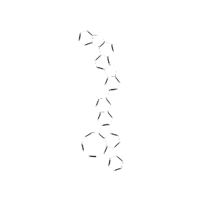 c1ccc(-c2ccccccc(-c3ccc4cc(-c5ccc6sc7c(ccc8c7ccc7oc9ccccc9c78)c6c5)ccc4c3)c3ccccc23)cc1